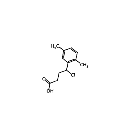 Cc1ccc(C)c(C(Cl)CCC(=O)O)c1